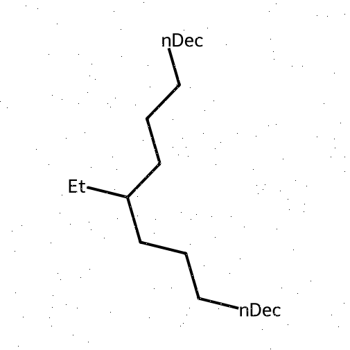 [CH2]CCCCCCCCCCCCC(CC)CCCCCCCCCCCC[CH2]